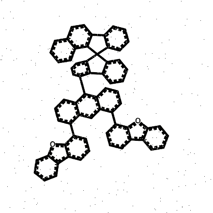 c1ccc2c(c1)-c1ccc3ccccc3c1C21c2ccccc2-c2c(-c3c4cccc(-c5cccc6c5oc5ccccc56)c4cc4c(-c5cccc6c5oc5ccccc56)cccc34)cccc21